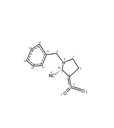 N#C[C@H]1C(=S(=O)=O)CCN1Cc1ccccc1